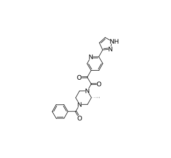 C[C@@H]1CN(C(=O)c2ccccc2)CCN1C(=O)C(=O)c1ccc(-c2cc[nH]n2)nc1